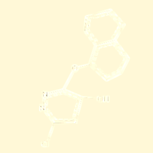 Oc1cc(Cl)nnc1Oc1cccc2ccccc12